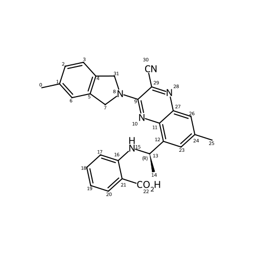 Cc1ccc2c(c1)CN(c1nc3c([C@@H](C)Nc4ccccc4C(=O)O)cc(C)cc3nc1C#N)C2